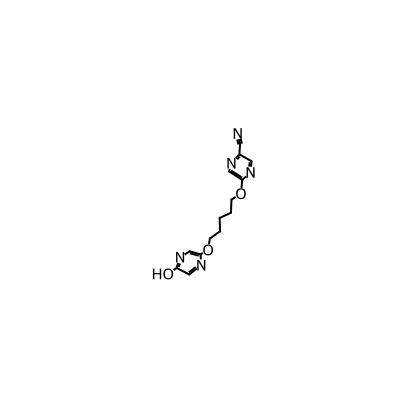 N#Cc1cnc(OCCCCCOc2cnc(O)cn2)cn1